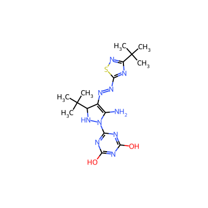 CC(C)(C)c1nsc(N=NC2=C(N)N(c3nc(O)nc(O)n3)NC2C(C)(C)C)n1